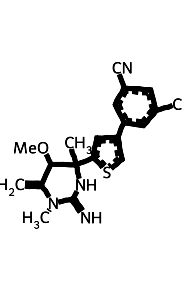 C=C1C(OC)C(C)(c2cc(-c3cc(Cl)cc(C#N)c3)cs2)NC(=N)N1C